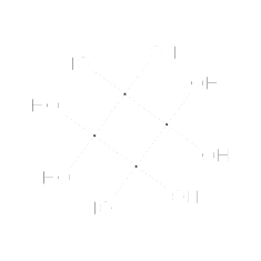 OC1(O)C(O)(O)C(O)(O)C1(O)O